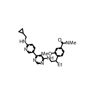 CCC(CNc1cc(-c2ccc(NCC3CC3)nc2)ncn1)c1ccc(C(=O)NC)cc1OC